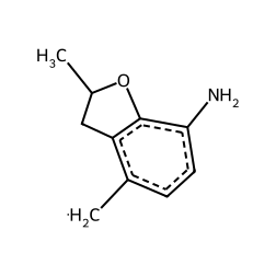 [CH2]c1ccc(N)c2c1CC(C)O2